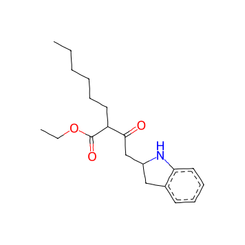 CCCCCCC(C(=O)CC1Cc2ccccc2N1)C(=O)OCC